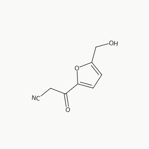 N#CCC(=O)c1ccc(CO)o1